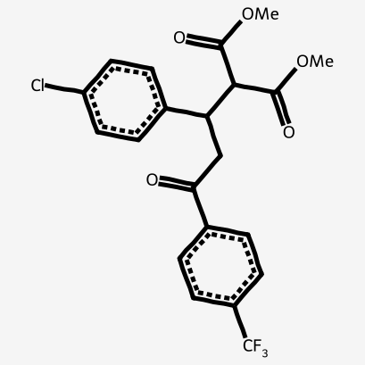 COC(=O)C(C(=O)OC)C(CC(=O)c1ccc(C(F)(F)F)cc1)c1ccc(Cl)cc1